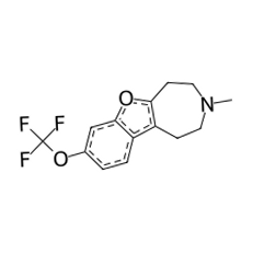 CN1CCc2oc3cc(OC(F)(F)F)ccc3c2CC1